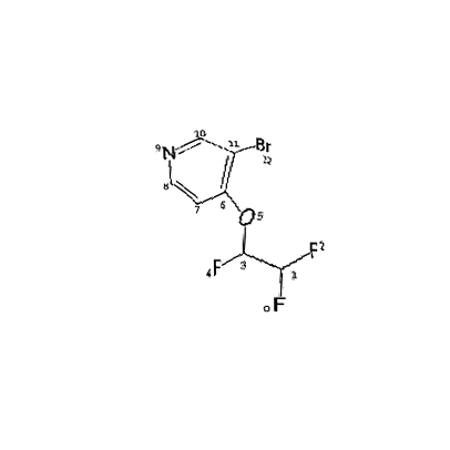 FC(F)C(F)Oc1ccncc1Br